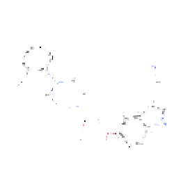 N#Cc1ccccc1N1CCN(C(=O)COc2ccc3[nH]cc(CCN)c3c2)CC1